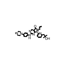 C=CCn1c(=O)c2cnc(Nc3ccc(N4CCN(C)CC4)cc3)nc2n1-c1cccc(CC(C)(C)O)n1